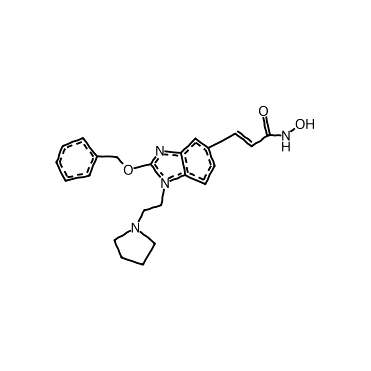 O=C(C=Cc1ccc2c(c1)nc(OCc1ccccc1)n2CCN1CCCC1)NO